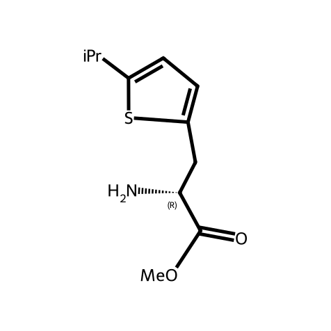 COC(=O)[C@H](N)Cc1ccc(C(C)C)s1